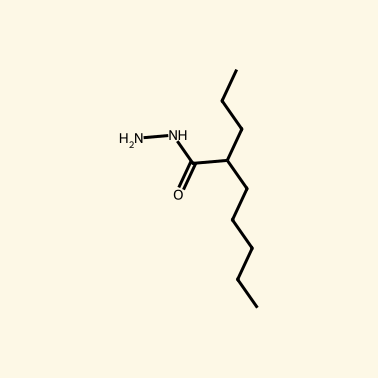 CCCCCC(CCC)C(=O)NN